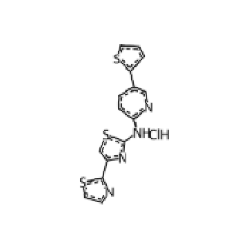 Cl.c1csc(-c2ccc(Nc3nc(-c4nccs4)cs3)nc2)c1